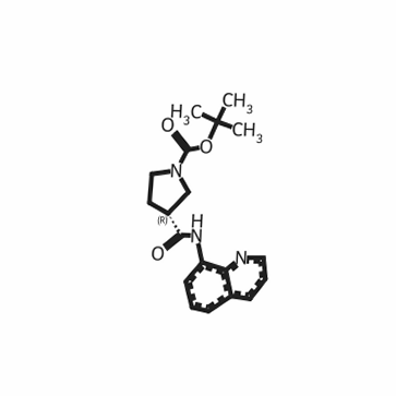 CC(C)(C)OC(=O)N1CC[C@@H](C(=O)Nc2cccc3cccnc23)C1